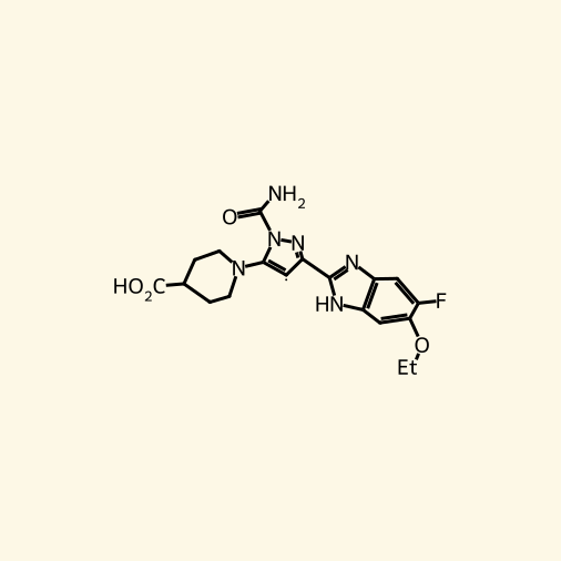 CCOc1cc2[nH]c(-c3[c]c(N4CCC(C(=O)O)CC4)n(C(N)=O)n3)nc2cc1F